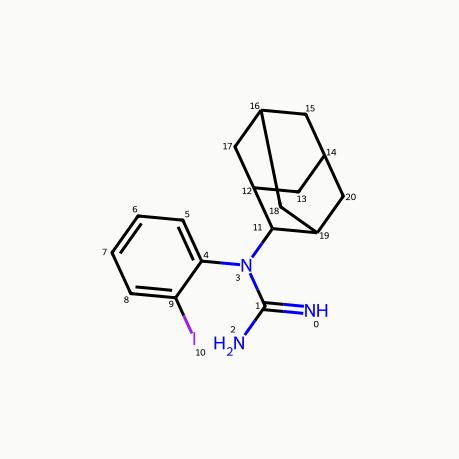 N=C(N)N(c1ccccc1I)C1C2CC3CC(C2)CC1C3